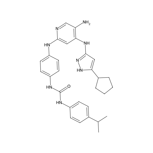 CC(C)c1ccc(NC(=O)Nc2ccc(Nc3cc(Nc4cc(C5CCCC5)[nH]n4)c(N)cn3)cc2)cc1